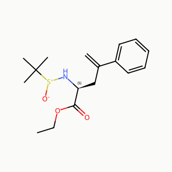 C=C(C[C@H](N[S+]([O-])C(C)(C)C)C(=O)OCC)c1ccccc1